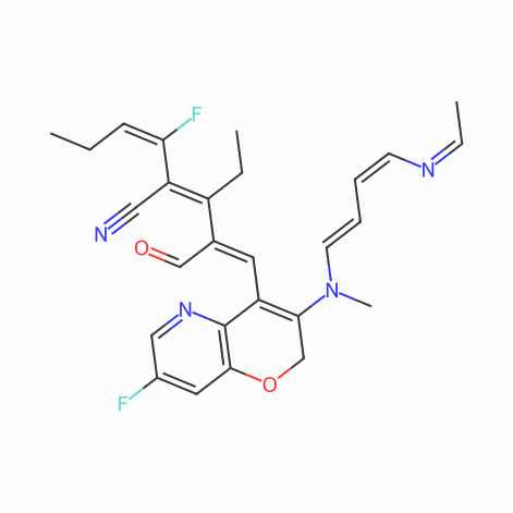 C\C=N/C=C\C=C\N(C)C1=C(/C=C(C=O)/C(CC)=C(C#N)/C(F)=C\CC)c2ncc(F)cc2OC1